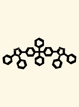 c1ccc(-c2nnc(-c3ccc(C(c4ccccc4)(c4ccccc4)c4ccc(-c5nnc(-c6ccccc6)n5-c5ccccc5)cc4)cc3)n2-c2ccccc2)cc1